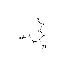 C=CCCC(CC)CCC(C)C